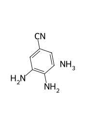 N.N#Cc1ccc(N)c(N)c1